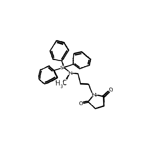 CN(CCCN1C(=O)CCC1=O)[Si](c1ccccc1)(c1ccccc1)c1ccccc1